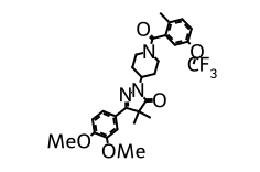 COc1ccc(C2=NN(C3CCN(C(=O)c4cc(OC(F)(F)F)ccc4C)CC3)C(=O)C2(C)C)cc1OC